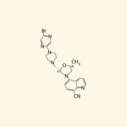 C[C@@H]1CN(c2ccc(C#N)c3ncccc23)C[C@H](CN2CCN(c3cnc(Br)cn3)CC2)O1